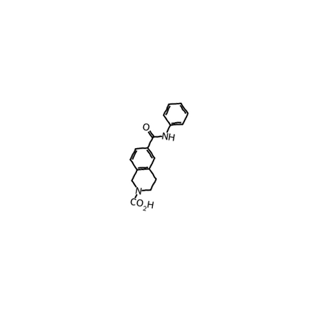 O=C(Nc1ccccc1)c1ccc2c(c1)CCN(C(=O)O)C2